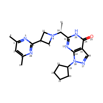 Cc1cc(C)nc(C2CN([C@H](C)c3nc4c(cnn4C4CCCC4)c(=O)[nH]3)C2)n1